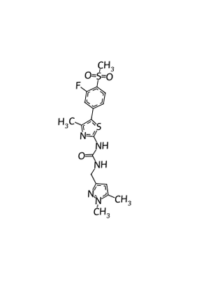 Cc1nc(NC(=O)NCc2cc(C)n(C)n2)sc1-c1ccc(S(C)(=O)=O)c(F)c1